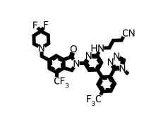 Cn1cnnc1-c1ccc(C(F)(F)F)cc1-c1cc(NCCCC#N)nc(N2Cc3c(cc(CN4CCC(F)(F)CC4)cc3C(F)(F)F)C2=O)c1